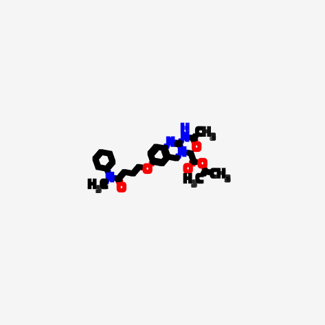 CC(=O)NC1=Nc2ccc(OCCCC(=O)N(C)C3CCCCC3)cc2CN1CC(=O)OC(C)C